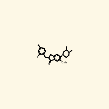 COc1cc2c(cc1N1CCN(C)C(C)C1)CC(Cc1ccc(Cl)cc1F)C2=O